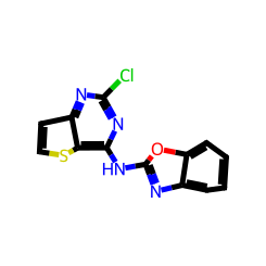 Clc1nc(Nc2nc3ccccc3o2)c2sccc2n1